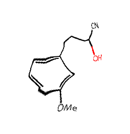 COc1cccc(CC(O)C#N)c1